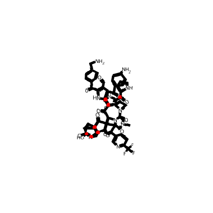 CN(C)C(=O)C1(C(=O)c2ccc(C(F)(F)F)nc2)N(C(=O)N2CCC2C(=O)c2[nH]c(C(=O)c3ccc(CN)cc3)c([C]=O)c2C(=O)c2ccc(N)cc2)C(C(=O)c2c[nH]c(C(=O)c3ccc[nH]3)n2)C1(C(=O)c1ccc(O)nc1)C(=O)c1ccc(Cl)nc1